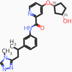 CC(Cc1nncn1C)c1cccc(NC(=O)c2cc(O[C@H]3CC[C@H](O)C3)ccn2)c1